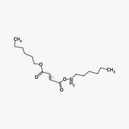 CCCCCCOC(=O)/C=C/C(=O)O[SiH2]CCCCCC